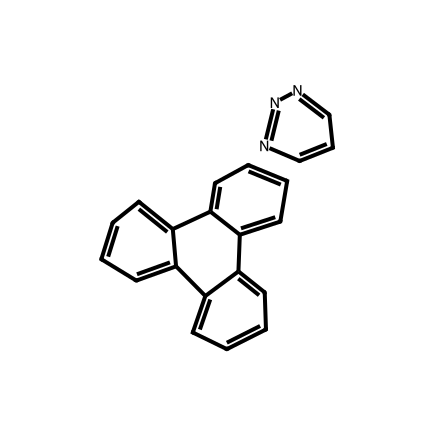 c1ccc2c(c1)c1ccccc1c1ccccc21.c1cnnnc1